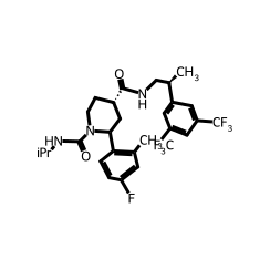 Cc1cc(F)ccc1C1C[C@@H](C(=O)NC[C@@H](C)c2cc(C(F)(F)F)cc(C(F)(F)F)c2)CCN1C(=O)NC(C)C